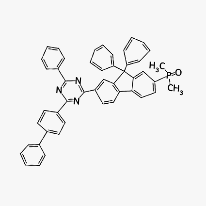 CP(C)(=O)c1ccc2c(c1)C(c1ccccc1)(c1ccccc1)c1cc(-c3nc(-c4ccccc4)nc(-c4ccc(-c5ccccc5)cc4)n3)ccc1-2